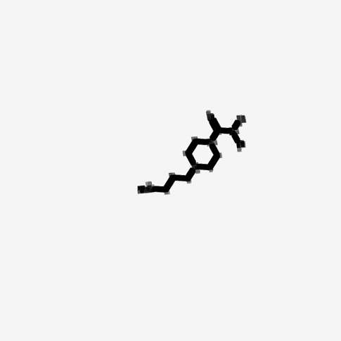 CCN(CC)C(=O)N1CCN(CCCNC)CC1